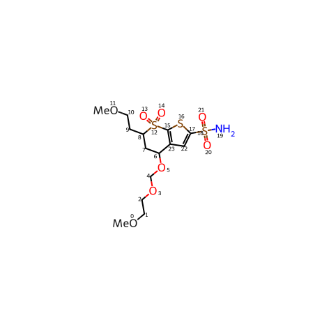 COCCOCOC1CC(CCOC)S(=O)(=O)c2sc(S(N)(=O)=O)cc21